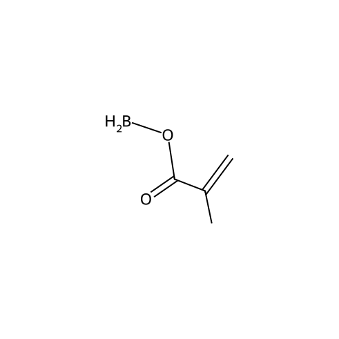 BOC(=O)C(=C)C